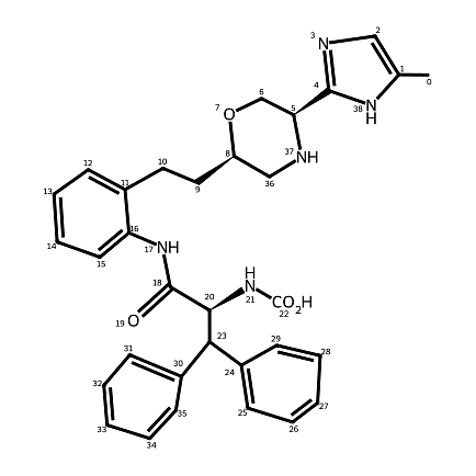 Cc1cnc([C@@H]2CO[C@H](CCc3ccccc3NC(=O)[C@@H](NC(=O)O)C(c3ccccc3)c3ccccc3)CN2)[nH]1